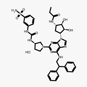 CCC(=O)N[C@H]1C[C@@H](n2cnc3c(NCC(c4ccccc4)c4ccccc4)nc(N4CC[C@@H](NC(=O)Nc5cccc(S(N)(=O)=O)c5)C4)nc32)[C@H](O)[C@@H]1O.Cl